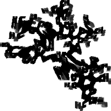 Cc1c(C)c(S(=O)(=O)NC(=N)NCCC[C@H](NC(=O)[C@@H](NC(=O)[C@@H](NC(=O)[C@@H](NC(=O)[C@@H](N)CSCC(N)=O)[C@@H](C)OC(C)(C)C)[C@@H](C)OC(C)(C)C)[C@@H](C)OC(C)(C)C)C(=O)N[C@@H](CC(=O)O)C(=O)O)c(C)c2c1OC(C)(C)C2